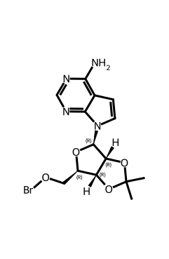 CC1(C)O[C@@H]2[C@H](O1)[C@@H](COBr)O[C@H]2n1ccc2c(N)ncnc21